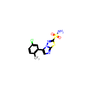 NS(=O)(=O)c1nn2c(-c3cc(Cl)ccc3C(F)(F)F)cnc2s1